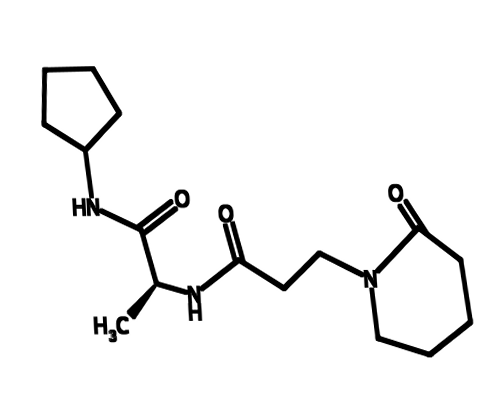 C[C@H](NC(=O)CCN1CCCCC1=O)C(=O)NC1CCCC1